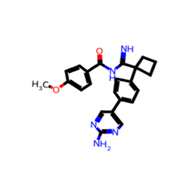 COc1ccc(C(=O)NC(=N)C2(c3ccc(-c4cnc(N)nc4)cc3)CCC2)cc1